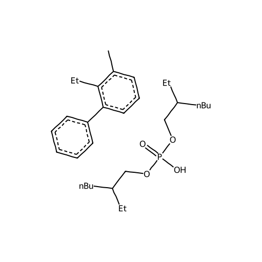 CCCCC(CC)COP(=O)(O)OCC(CC)CCCC.CCc1c(C)cccc1-c1ccccc1